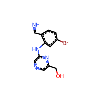 N=Cc1ccc(Br)cc1Nc1cncc(CO)n1